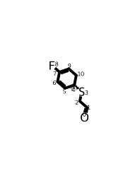 O=CCS[C@H]1C=CC(F)=CC1